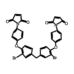 O=C1C=CC(=O)N1c1ccc(Oc2ccc(Cc3ccc(Oc4ccc(N5C(=O)C=CC5=O)cc4)c(Br)c3)cc2Br)cc1